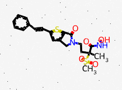 CC(CCN1Cc2cc(C#Cc3ccccc3)sc2C1=O)(C(=O)NO)S(C)(=O)=O